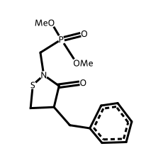 COP(=O)(CN1SCC(Cc2ccccc2)C1=O)OC